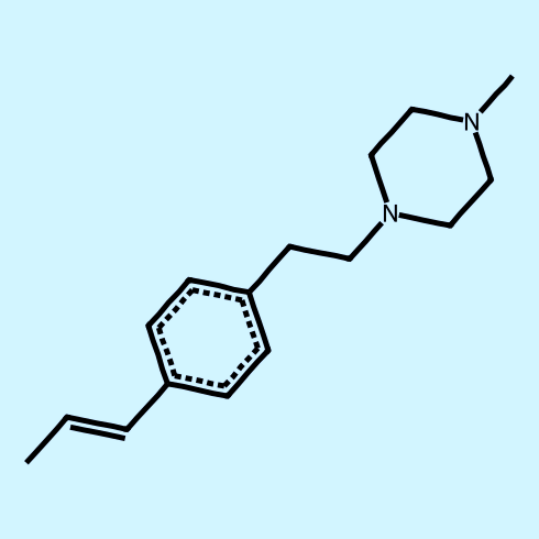 C/C=C/c1ccc(CCN2CCN(C)CC2)cc1